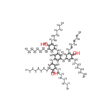 CCCCCCCCc1cc(Cc2c(C)c(Cc3cc(CCCCCCCC)c(O)c(CCCCCCCC)c3)c(C)c(Cc3cc(CCCCCCCC)c(O)c(CCCCCCCC)c3)c2C)cc(CCCCCCCC)c1O